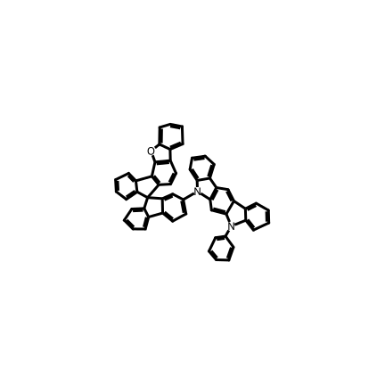 c1ccc(-n2c3ccccc3c3cc4c5ccccc5n(-c5ccc6c(c5)C5(c7ccccc7-6)c6ccccc6-c6c5ccc5c6oc6ccccc65)c4cc32)cc1